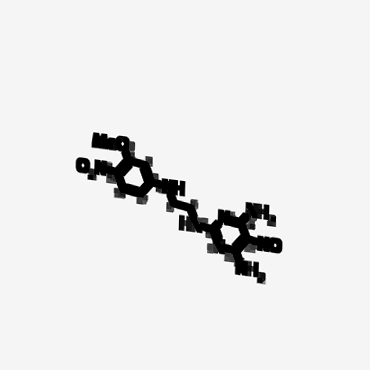 COc1cc(NCCNc2nc(N)c(N=O)c(N)n2)ccc1[N+](=O)[O-]